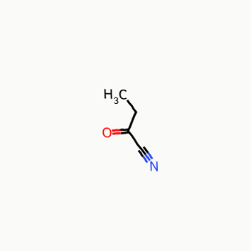 CCC(=O)C#N